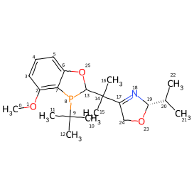 COc1cccc2c1P(C(C)(C)C)C(C(C)(C)C1=N[C@H](C(C)C)OC1)O2